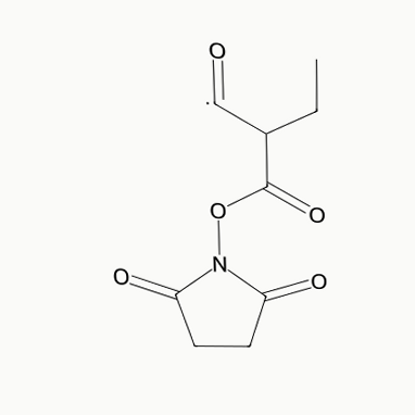 CCC([C]=O)C(=O)ON1C(=O)CCC1=O